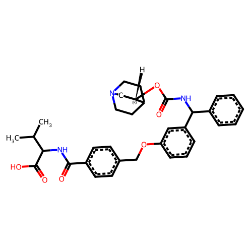 CC(C)C(NC(=O)c1ccc(COc2cccc(C(NC(=O)O[C@H]3CN4CCC3CC4)c3ccccc3)c2)cc1)C(=O)O